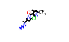 Cc1cc(C(F)(F)F)nc(Cl)c1C(=O)N1CCC([C@H](C)N=[N+]=[N-])C1